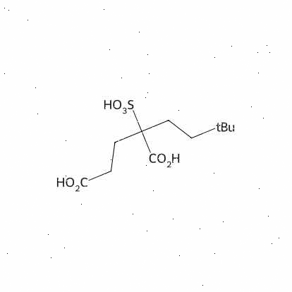 CC(C)(C)CCC(CCC(=O)O)(C(=O)O)S(=O)(=O)O